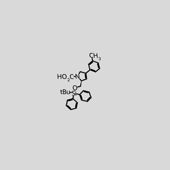 Cc1cccc(C2=C[C@@H](CO[Si](c3ccccc3)(c3ccccc3)C(C)(C)C)N(C(=O)O)C2)c1